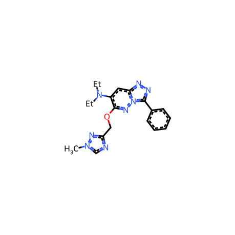 CCN(CC)c1cc2nnc(-c3ccccc3)n2nc1OCc1ncn(C)n1